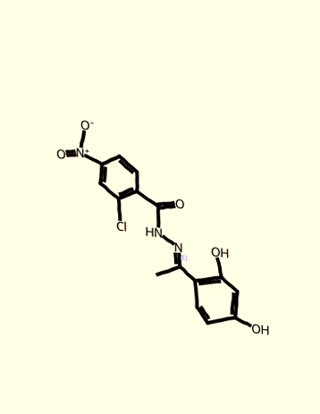 C/C(=N\NC(=O)c1ccc([N+](=O)[O-])cc1Cl)c1ccc(O)cc1O